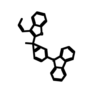 C/C=C\c1c(C2(C)c3ccc(-n4c5ccccc5c5ccccc54)cc32)oc2ccccc12